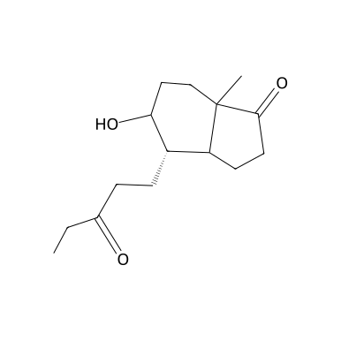 CCC(=O)CC[C@@H]1C(O)CCC2(C)C(=O)CCC12